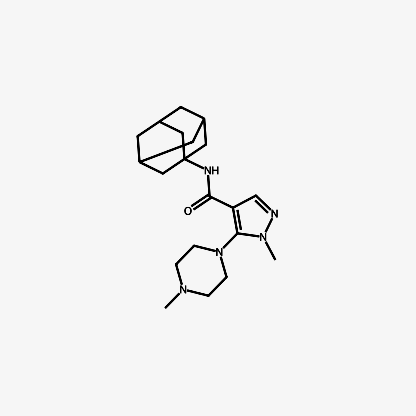 CN1CCN(c2c(C(=O)NC34CC5CC(CC(C5)C3)C4)cnn2C)CC1